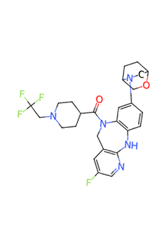 O=C(C1CCN(CC(F)(F)F)CC1)N1Cc2cc(F)cnc2Nc2ccc(N3CC4CCC3CO4)cc21